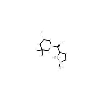 CCCN1CCC(C(=O)N2C[C@@H](F)CC(C)(C)C2)N1